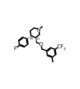 Cc1cc(COC[C@@H]2CN(C)CC[C@H]2c2ccc(F)cc2)cc(C(F)(F)F)c1